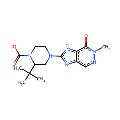 Cn1ncc2nc(N3CCN(C(=O)O)C(C(C)(C)C)C3)[nH]c2c1=O